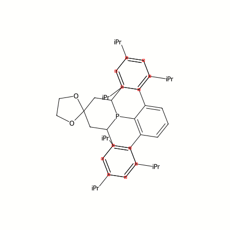 CC(C)c1cc(C(C)C)c(-c2cccc(-c3c(C(C)C)cc(C(C)C)cc3C(C)C)c2P2C(c3ccccc3)CC3(CC2c2ccccc2)OCCO3)c(C(C)C)c1